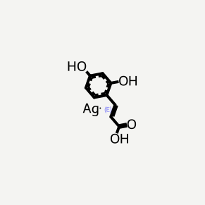 O=C(O)/C=C/c1ccc(O)cc1O.[Ag]